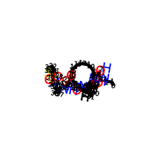 C=CCNC(=O)C(=O)[C@@H]1CCCCCCCOC[C@H](NC(=O)N[C@H](CN(C)S(=O)(=O)c2cccs2)C(C)(C)C)C(=O)N2C[C@H]3[C@@H]([C@H]2C(=O)N1)C3(C)C